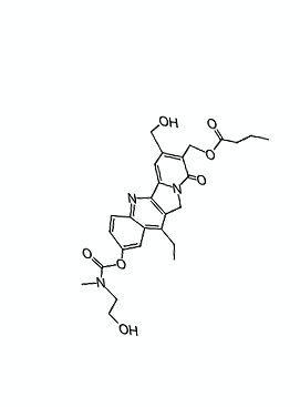 CCCC(=O)OCc1c(CO)cc2n(c1=O)Cc1c-2nc2ccc(OC(=O)N(C)CCO)cc2c1CC